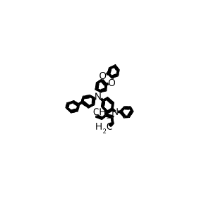 C=Cc1c(/C=C\C)c2cc(N(c3ccc(-c4ccccc4)cc3)c3ccc4c(c3)Oc3ccccc3O4)ccc2n1-c1ccccc1